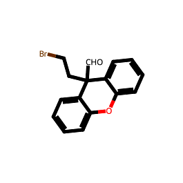 O=CC1(CCBr)c2ccccc2Oc2ccccc21